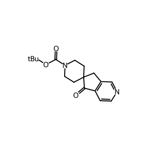 CC(C)(C)OC(=O)N1CCC2(CC1)Cc1cnccc1C2=O